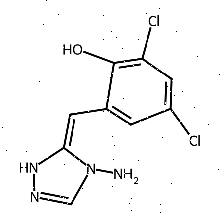 NN1C=NNC1=Cc1cc(Cl)cc(Cl)c1O